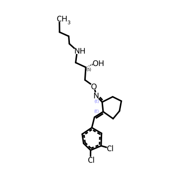 CCCCNC[C@H](O)CO/N=C1\CCCC\C1=C/c1ccc(Cl)c(Cl)c1